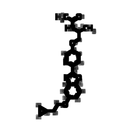 CC(=O)N[C@@H](C)COc1ccc(-c2nc3cc(OCCC4CC4)ccc3o2)nc1